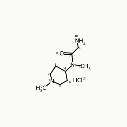 CN1CCC(N(C)C(=O)CN)CC1.Cl